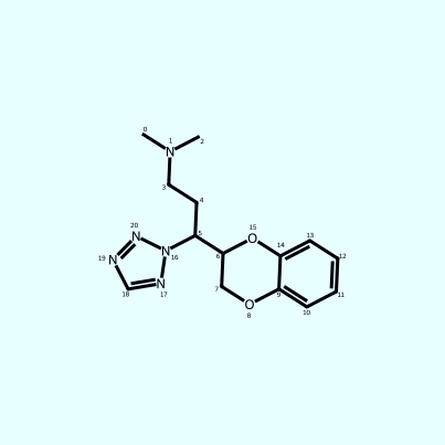 CN(C)CCC(C1COc2ccccc2O1)n1ncnn1